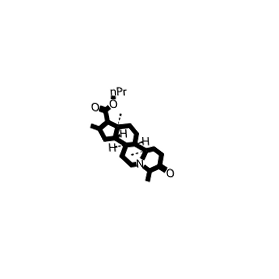 CCCOC(=O)C1C(C)C[C@H]2[C@@H]3CCN4C(C)C(=O)CC[C@]4(C)[C@@H]3CC[C@]12C